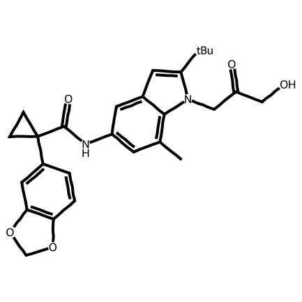 Cc1cc(NC(=O)C2(c3ccc4c(c3)OCO4)CC2)cc2cc(C(C)(C)C)n(CC(=O)CO)c12